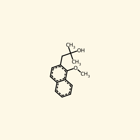 COc1c(CC(C)(C)O)ccc2ccccc12